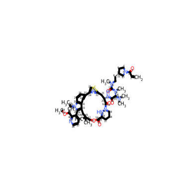 C=CC(=O)N1CC[C@@H](CCN(C)C(=O)N(C)[C@H](C(=O)N[C@H]2Cc3nc(cs3)-c3ccc4c(c3)c(c(-c3cccnc3[C@H](C)OC)n4CC)CC(C)(C)COC(=O)[C@@H]3CCCN(N3)C2=O)N(C)C)C1